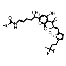 C/C(=C\c1ccc(CCC(F)(F)F)s1)C(=O)c1c(O)cc(C(C)CCC=CNC(=O)O)oc1=O